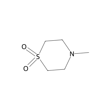 CN1CCS(=O)(=O)CC1